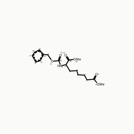 COC(=O)CCCCCC(NC(=O)OCc1ccccc1)C(=O)OC